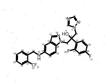 OC(Cn1cncn1)(Cn1ncc2cc(NCc3ccccc3C(F)(F)F)ccc21)c1ccc(F)cc1F